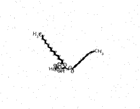 CC#CC#CC#CC#CC#CC(=O)OC[C@@H](COP(=O)(O)O)OC(=O)CCCCCCCCCCCCCC